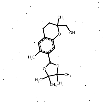 Cc1cc2c(cc1B1OC(C)(C)C(C)(C)O1)OC(C)(CO)CC2